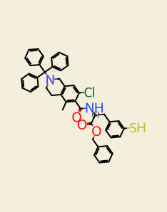 Cc1c2c(cc(Cl)c1C(=O)N[C@@H](Cc1cccc(S)c1)C(=O)OCc1ccccc1)CN(C(c1ccccc1)(c1ccccc1)c1ccccc1)CC2